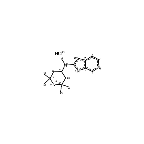 CN(c1nc2cnccc2s1)C1CC(C)(C)NC(C)(C)C1.Cl